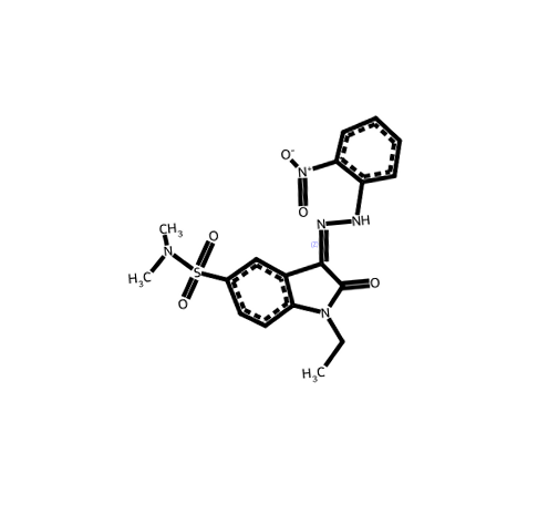 CCN1C(=O)/C(=N\Nc2ccccc2[N+](=O)[O-])c2cc(S(=O)(=O)N(C)C)ccc21